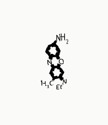 CCN=c1cc2oc3cc(N)ccc3nc-2cc1C